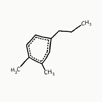 [CH2]c1ccc(CCC)cc1C